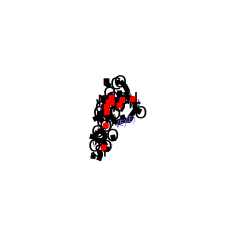 C=CC1COCC[C@H]2C[C@@H](C)C(=O)/C=C/C(C)=C/[C@H](CO[C@@H]3OC(C)[C@@H](O[Si](CC)(CC)CC)C(OC)C3OC)[C@@H](I)OC(=O)C[C@@H](O1)[C@H](C)[C@H]2O[C@@H]1OC(C)[C@@H](OC(C)=O)C(N(C)C)C1OC(C)=O